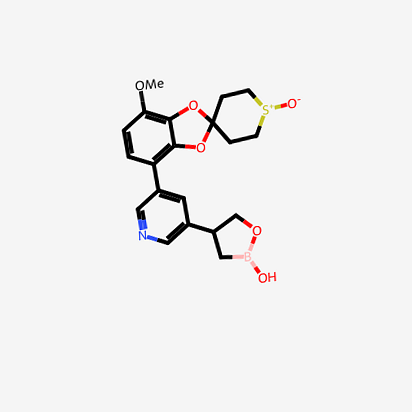 COc1ccc(-c2cncc(C3COB(O)C3)c2)c2c1OC1(CC[S+]([O-])CC1)O2